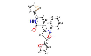 O=c1[nH]c(-c2cccs2)cc(-c2ccccc2)c1C1=NOC(c2ccco2)C1